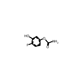 NC(=O)Oc1ccc(F)c(O)c1